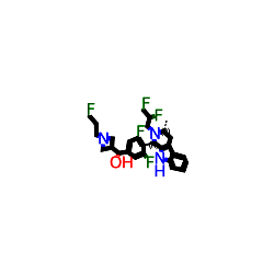 C[C@@H]1Cc2c([nH]c3ccccc23)[C@@H](c2c(F)cc(C(O)C3CN(CCCF)C3)cc2F)N1CC(F)CF